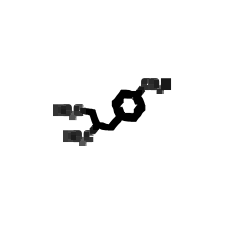 O=C(O)CC(Cc1ccc(C(=O)O)cc1)C(=O)O